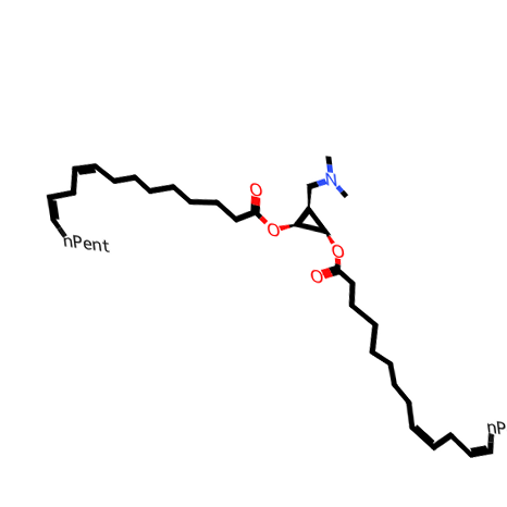 CCCCC/C=C\C/C=C\CCCCCCCC(=O)O[C@@H]1[C@H](CN(C)C)[C@@H]1OC(=O)CCCCCCC/C=C\C/C=C\CCCCC